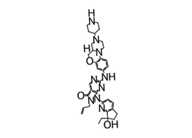 C=CCn1c(=O)c2cnc(Nc3ccc4c(c3)OC[C@H]3CN(C5CCNCC5)CCN43)nc2n1-c1ccc2c(n1)[C@@](O)(CC)CC2